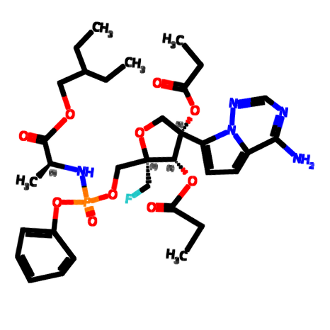 CCC(=O)O[C@@H]1[C@@](CF)(COP(=O)(N[C@@H](C)C(=O)OCC(CC)CC)Oc2ccccc2)OC[C@@]1(OC(=O)CC)c1ccc2c(N)ncnn12